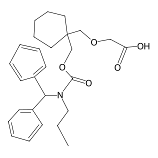 CCCN(C(=O)OCC1(COCC(=O)O)CCCCC1)C(c1ccccc1)c1ccccc1